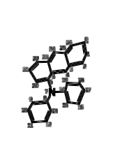 [c]1ccc2cc3c(N(c4ccccc4)c4ccccc4)cccc3cc2c1